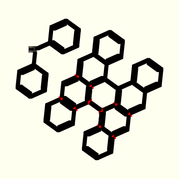 c1ccc(P(c2ccccc2)c2ccc3ccccc3c2-c2c(P(c3ccccc3)c3ccccc3)ccc3ccccc23)cc1.c1ccc(Pc2ccccc2)cc1